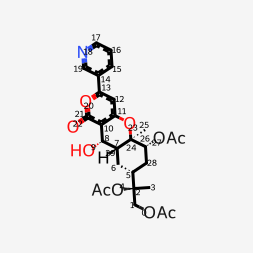 CC(=O)OC[C@](C)(OC(C)=O)[C@@H]1C[C@@H]2[C@H](O)c3c(cc(-c4cccnc4)oc3=O)O[C@@]2(C)[C@H](OC(C)=O)C1